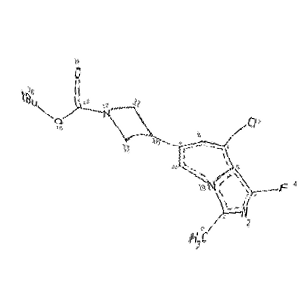 Cc1nc(F)c2c(Cl)cc(C3CN(C(=O)OC(C)(C)C)C3)cn12